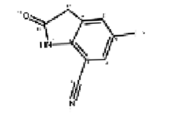 N#Cc1cc(I)cc2c1NC(=O)C2